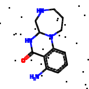 Nc1cccc2c1C(=O)NC1CNCCCN21